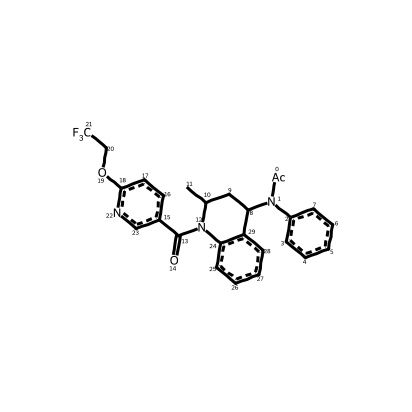 CC(=O)N(c1ccccc1)C1CC(C)N(C(=O)c2ccc(OCC(F)(F)F)nc2)c2ccccc21